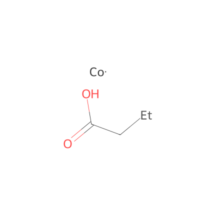 CCCC(=O)O.[Co]